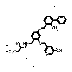 Cc1c(COc2ccc(CNCC(O)CC(=O)O)c(OCc3cncc(C#N)c3)c2)cccc1-c1ccccc1